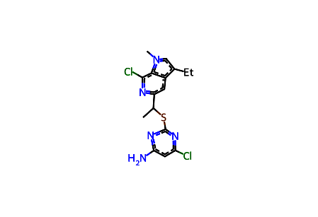 CCc1cn(C)c2c(Cl)nc(C(C)Sc3nc(N)cc(Cl)n3)cc12